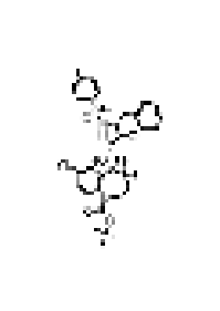 Cc1ccc(S(=O)(=O)N[C@@H](Cc2ccccc2)C(=O)OC[C@]2(O)c3cc(Cl)ccc3N(C(=O)OC(C)(C)C)CCC2(F)F)cc1